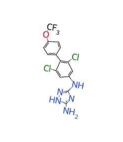 Nc1nc(Nc2cc(Cl)c(-c3ccc(OC(F)(F)F)cc3)c(Cl)c2)n[nH]1